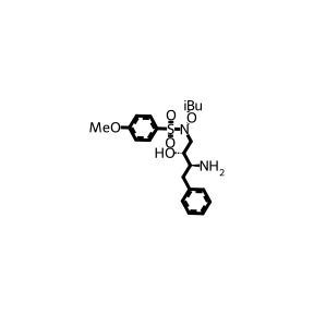 CCC(C)ON(C[C@@H](O)[C@@H](N)Cc1ccccc1)S(=O)(=O)c1ccc(OC)cc1